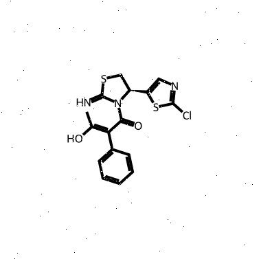 C/C(O)=C(\C(=O)N1C(=N)SC[C@H]1c1cnc(Cl)s1)c1ccccc1